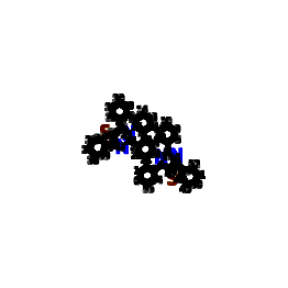 c1ccc(-c2nc(-c3cccc(-c4ccccc4-c4ccccc4-c4nc(-c5ccccc5)c5sc6ccccc6c5n4)c3)nc3c2sc2ccccc23)cc1